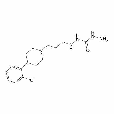 NNC(=O)NNCCCN1CCC(c2ccccc2Cl)CC1